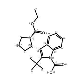 CCOC(=O)[C@@H]1CNC[C@H]1c1c(C(C)(C)C)n(C(=O)O)c2ccccc12